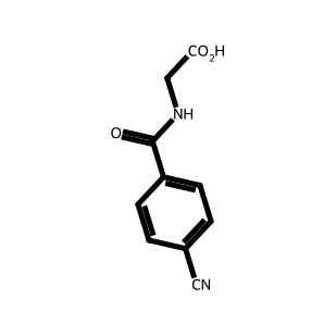 N#Cc1ccc(C(=O)NCC(=O)O)cc1